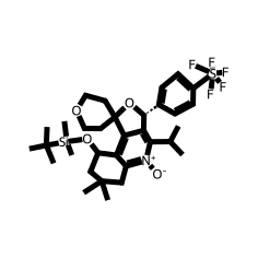 CC(C)c1c2c(c3c([n+]1[O-])CC(C)(C)CC3O[Si](C)(C)C(C)(C)C)C1(CCOCC1)O[C@@H]2c1ccc(S(F)(F)(F)(F)F)cc1